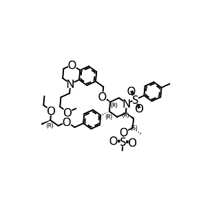 CCO[C@H](C)COCc1ccc([C@H]2C[C@H](C[C@H](C)OS(C)(=O)=O)N(S(=O)(=O)c3ccc(C)cc3)C[C@@H]2OCc2ccc3c(c2)N(CCCOC)CCO3)cc1